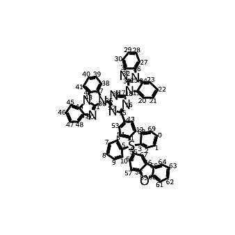 c1ccc(S(c2ccccc2)(c2ccc(-c3nc(-n4c5ccccc5n5c6ccccc6nc45)nc(-n4c5ccccc5n5c6ccccc6nc45)n3)cc2)c2ccc3oc4ccccc4c3c2)cc1